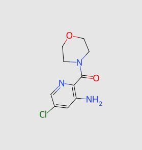 Nc1cc(Cl)cnc1C(=O)N1CCOCC1